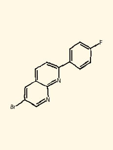 Fc1ccc(-c2ccc3cc(Br)cnc3n2)cc1